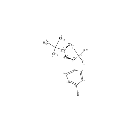 CC(C)(C)[S@@+]([O-])N[C@H](c1ccc(Br)nc1)C(F)(F)F